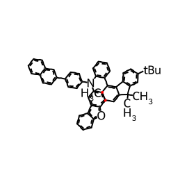 CC1CC=C2C(=C1c1ccccc1N(c1ccc(-c3ccc4ccccc4c3)cc1)c1ccc3oc4ccccc4c3c1)c1ccc(C(C)(C)C)cc1C2(C)C